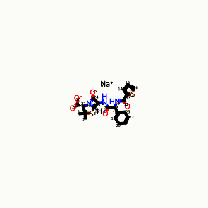 CC1(C)S[C@@H]2C(NC(=O)C(NC(=O)c3cccs3)C3=CCC=CC3)C(=O)N2[C@H]1C(=O)[O-].[Na+]